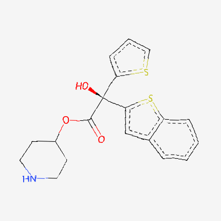 O=C(OC1CCNCC1)[C@](O)(c1cccs1)c1cc2ccccc2s1